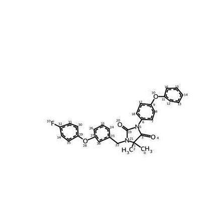 CC1(C)C(=O)N(c2ccc(Oc3ccccc3)cc2)C(=O)N1Cc1cccc(Oc2ccc(F)cc2)c1